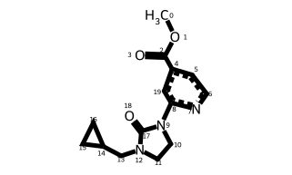 COC(=O)c1ccnc(N2CCN(CC3CC3)C2=O)c1